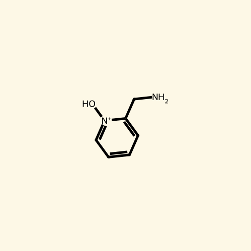 NCc1cccc[n+]1O